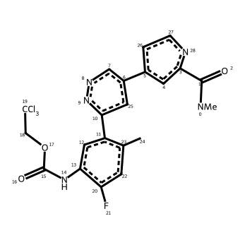 CNC(=O)c1cc(-c2cnnc(-c3cc(NC(=O)OCC(Cl)(Cl)Cl)c(F)cc3C)c2)ccn1